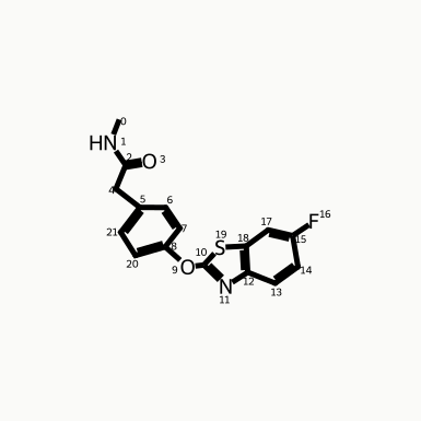 CNC(=O)Cc1ccc(Oc2nc3ccc(F)cc3s2)cc1